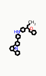 C=C/C=C(/c1ccc(Nc2ccc(-c3ccc4c(c3)c3cccc5c6ccccc6n4c53)cc2)cc1)c1cc2ccccc2o1